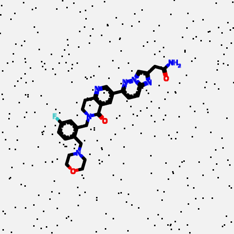 NC(=O)Cc1cn2nc(-c3cnc4c(c3)C(=O)N(Cc3cc(F)ccc3CN3CCOCC3)CC4)ccc2n1